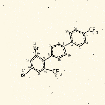 FC(F)(F)c1ccc(-c2ccc(-c3c(Br)cc(Br)cc3C(F)(F)F)cc2)cc1